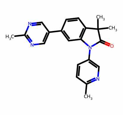 Cc1ccc(N2C(=O)C(C)(C)c3ccc(-c4cnc(C)nc4)cc32)cn1